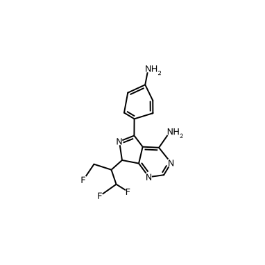 Nc1ccc(C2=NC(C(CF)C(F)F)c3ncnc(N)c32)cc1